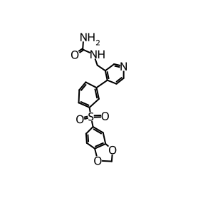 NC(=O)NCc1cnccc1-c1cccc(S(=O)(=O)c2ccc3c(c2)OCO3)c1